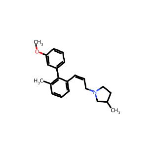 COc1cccc(-c2c(C)cccc2/C=C\CN2CCC(C)C2)c1